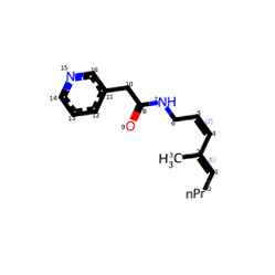 CCC/C=C(C)/C=C\CNC(=O)Cc1cccnc1